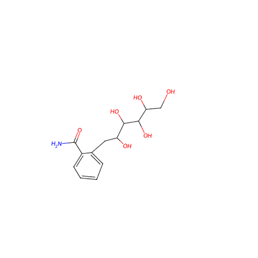 NC(=O)c1ccccc1CC(O)C(O)C(O)C(O)CO